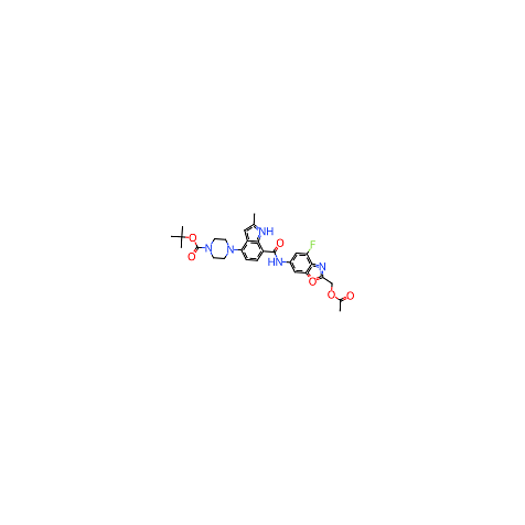 CC(=O)OCc1nc2c(F)cc(NC(=O)c3ccc(N4CCN(C(=O)OC(C)(C)C)CC4)c4cc(C)[nH]c34)cc2o1